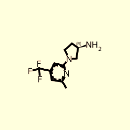 Cc1cc(C(F)(F)F)cc(N2CC[C@@H](N)C2)n1